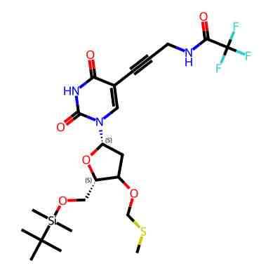 CSCOC1C[C@@H](n2cc(C#CCNC(=O)C(F)(F)F)c(=O)[nH]c2=O)O[C@H]1CO[Si](C)(C)C(C)(C)C